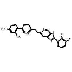 Fc1cccc(-c2nc3c([nH]2)C=NN(CCc2ccc(-c4ccc(C(F)(F)F)cc4C(F)(F)F)cn2)C3)c1F